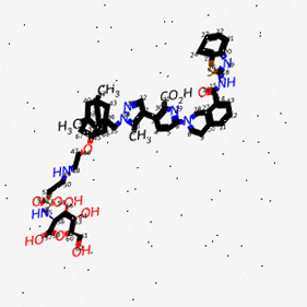 Cc1c(-c2ccc(N3CCc4cccc(C(=O)Nc5nc6ccccc6s5)c4C3)nc2C(=O)O)cnn1CC12CC3(C)CC(C)(C1)CC(OCCNCCS(=O)(=O)N[C@H]1C(O)O[C@H](CO)[C@@H](O)[C@@H]1O)(C3)C2